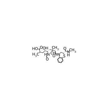 CNC(=O)[C@H]1CN(C(=O)CC(C)(C)C[C@H](NC=O)[C@@H](O)C[C@@H](C)C(=O)O)c2ccccc2S1